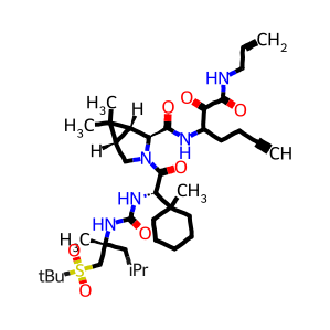 C#CCCC(NC(=O)[C@@H]1[C@@H]2[C@H](CN1C(=O)[C@@H](NC(=O)N[C@](C)(CC(C)C)CS(=O)(=O)C(C)(C)C)C1(C)CCCCC1)C2(C)C)C(=O)C(=O)NCC=C